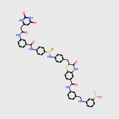 O=C(Cc1cc(=O)[nH]c(=O)[nH]1)Nc1cccc(C(=O)Nc2ccc([S+]([O-])Nc3ccc(CC4Sc5ccc(C(=O)Nc6cccc(CNc7cccc([S+]([O-])F)c7)c6)cc5NC4=O)cc3)cc2)c1